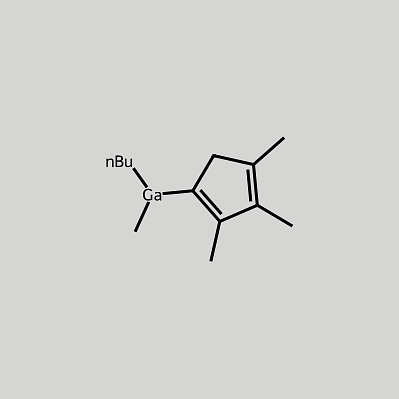 CCC[CH2][Ga]([CH3])[C]1=C(C)C(C)=C(C)C1